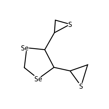 C1[Se]C(C2CS2)C(C2CS2)[Se]1